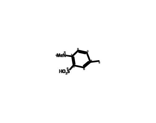 C[N]c1ccc(C)cc1S(=O)(=O)O